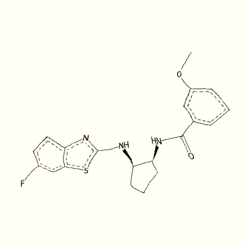 COc1cccc(C(=O)N[C@H]2CCC[C@H]2Nc2nc3ccc(F)cc3s2)c1